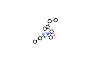 c1ccc(-c2ccc(C3=NC(c4ccccc4)NC(c4cccc5oc6ccc(-c7cccc(-c8cccc(-c9ccccc9)c8)c7)cc6c45)=N3)cc2)cc1